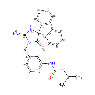 CC(C)CC(=O)Nc1cccc(CN2C(=N)NC(c3ccccc3)(c3ccccc3)C2=O)c1